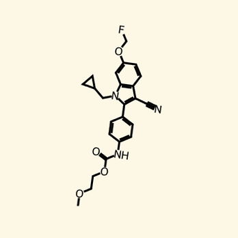 COCCOC(=O)Nc1ccc(-c2c(C#N)c3ccc(OCF)cc3n2CC2CC2)cc1